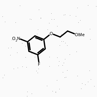 COCCOc1cc(F)cc([N+](=O)[O-])c1